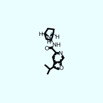 CC(C)c1coc2cnc(C(=O)N[C@@H]3C[C@H]4CC[C@@H]3N4)cc12